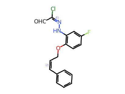 O=C/C(Cl)=N\Nc1cc(F)ccc1OC/C=C\c1ccccc1